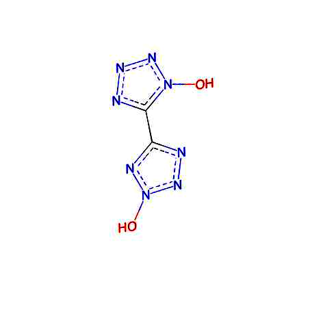 On1nnc(-c2nnnn2O)n1